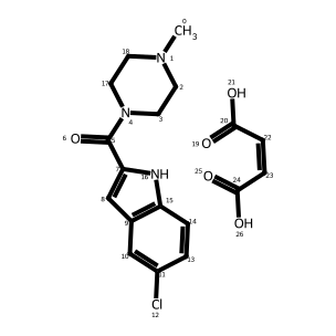 CN1CCN(C(=O)c2cc3cc(Cl)ccc3[nH]2)CC1.O=C(O)/C=C\C(=O)O